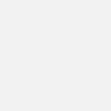 c1ccc2cc3c(cc2c1)c1ccccc1n3-c1cc(-c2nc(-c3cccc4c3oc3ccccc34)nc(-c3cccc4c3sc3ccccc34)n2)cc2oc3ccccc3c12